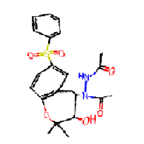 CC(=O)NN(C(C)=O)[C@H]1c2cc(S(=O)(=O)c3ccccc3)ccc2OC(C)(C)[C@@H]1O